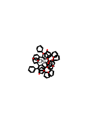 Cc1c(-c2ccccc2)c(-c2ccccc2)c([Si](Cl)(c2c(-c3ccccc3)c(-c3ccccc3)c(C)c(-c3ccccc3)c2-c2ccccc2)c2c(-c3ccccc3)c(-c3ccccc3)c(C)c(-c3ccccc3)c2-c2ccccc2)c(-c2ccccc2)c1-c1ccccc1